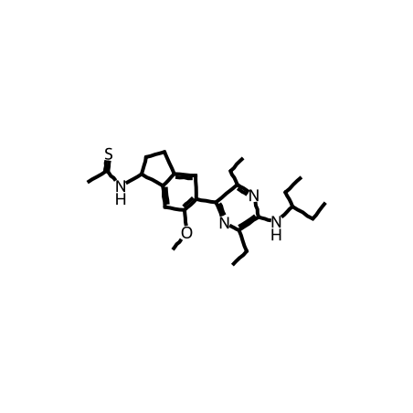 CCc1nc(-c2cc3c(cc2OC)C(NC(C)=S)CC3)c(CC)nc1NC(CC)CC